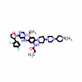 C=CC(=O)Nc1cc(Nc2cc(N3OCCC3c3ccc(F)cc3F)ncn2)c(OC)cc1N1CCC(N2CCN(C3CCN(C)CC3)CC2)CC1